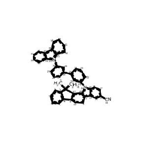 CC1(C)c2ccccc2-c2ccc3c4cc(C#N)ccc4n(-c4cccc(-c5cccc(-n6c7ccccc7c7ccccc76)c5)c4)c3c21